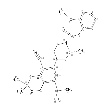 COc1ccccc1CC(=O)N1CCN(c2nc(C(C)C)c3c(c2C#N)CC(C)(C)OC3)C[C@H]1C